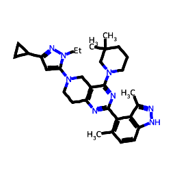 CCn1nc(C2CC2)cc1N1CCc2nc(-c3c(C)ccc4[nH]nc(C)c34)nc(N3CCCC(C)(C)C3)c2C1